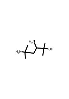 CC(C)(N)CC(N)C(C)(C)O